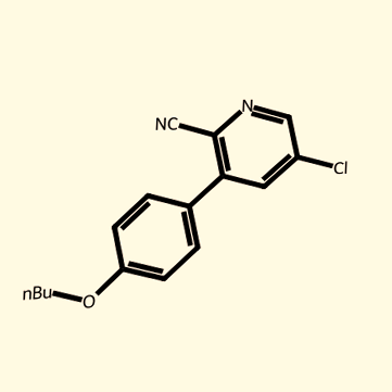 CCCCOc1ccc(-c2cc(Cl)cnc2C#N)cc1